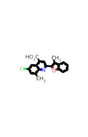 Cc1c(-c2cc(C(=O)O)c3cc(Cl)cc(C)c3n2)oc2ccccc12